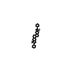 Cn1c(-c2ccccc2)cc2cc3c(ccc4c5cc6cc(-c7ccccc7)n(C)c6cc5ccc34)cc21